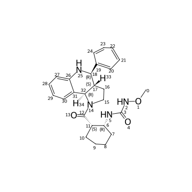 CONC(=O)N[C@@H]1CCCC[C@@H]1C(=O)N1CC[C@H]2[C@H](c3ccccc3)Nc3ccccc3[C@@H]21